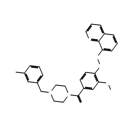 COc1cc(C(=O)N2CCN(Cc3cccc(Cl)c3)CC2)ccc1NSc1cccc2cccnc12